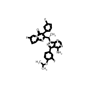 CC(C)Oc1ccc(-c2nn([C@@H](C)c3nc4ccc(F)cn4c(=O)c3-c3cccc(F)c3)c3ncnc(N)c23)cc1F